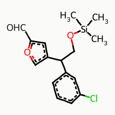 C[Si](C)(C)OCC(c1cccc(Cl)c1)c1coc(C=O)c1